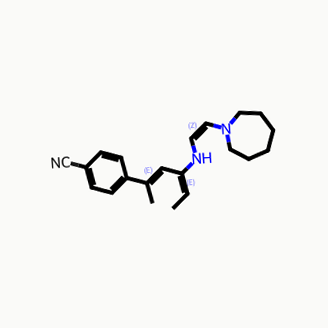 C/C=C(\C=C(/C)c1ccc(C#N)cc1)N/C=C\N1CCCCCC1